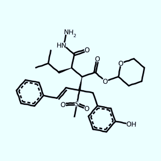 CC(C)C[C@@H](C(=O)NN)[C@@H](C(=O)OC1CCCCO1)C(/C=C/c1ccccc1)(Cc1cccc(O)c1)S(C)(=O)=O